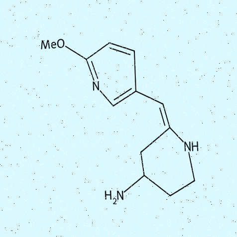 COc1ccc(C=C2CC(N)CCN2)cn1